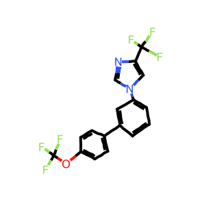 FC(F)(F)Oc1ccc(-c2cccc(-n3cnc(C(F)(F)F)c3)c2)cc1